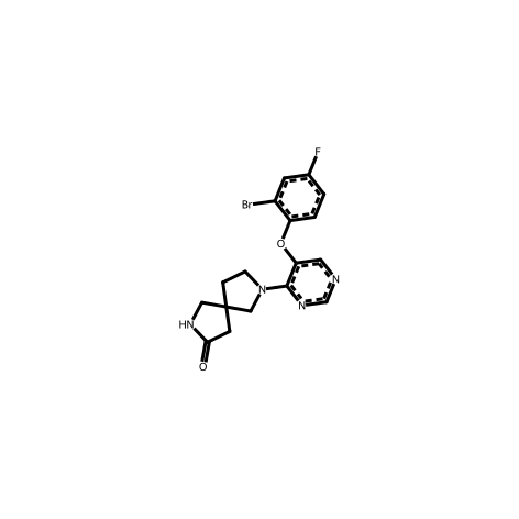 O=C1CC2(CCN(c3ncncc3Oc3ccc(F)cc3Br)C2)CN1